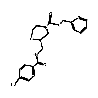 O=C(NC[C@@H]1CN(C(=O)OCc2ccccn2)CCO1)c1ccc(O)cc1